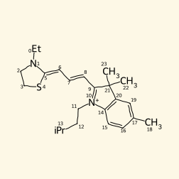 CCN1CCS/C1=C\C=C\C1=[N+](CCC(C)C)c2ccc(C)cc2C1(C)C